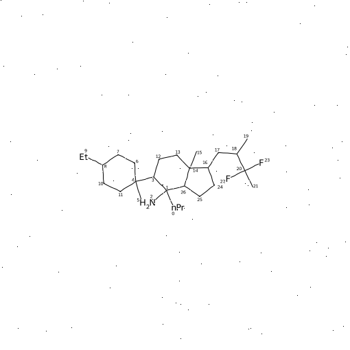 CCCC1(N)C(C2(C)CCC(CC)CC2)CCC2(C)C(CC(C)C(C)(F)F)CCC21